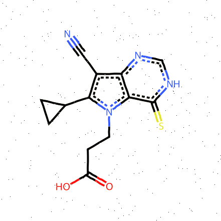 N#Cc1c(C2CC2)n(CCC(=O)O)c2c(=S)[nH]cnc12